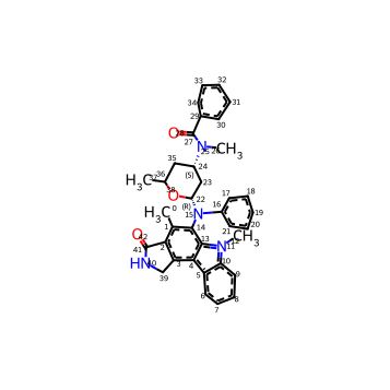 Cc1c2c(c3c4ccccc4n(C)c3c1N(c1ccccc1)[C@H]1C[C@@H](N(C)C(=O)c3ccccc3)CC(C)O1)CNC2=O